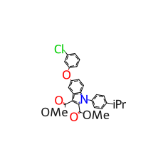 COC(=O)c1c(C(=O)OC)n(-c2ccc(C(C)C)cc2)c2ccc(Oc3cccc(Cl)c3)cc12